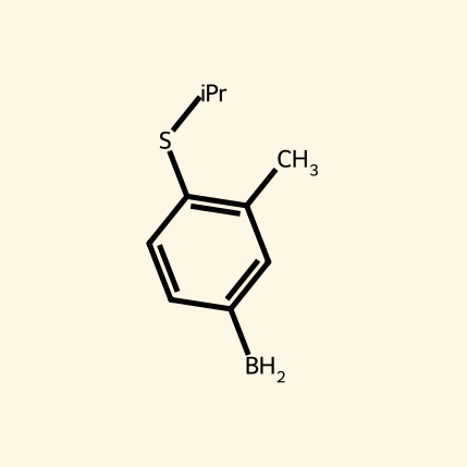 Bc1ccc(SC(C)C)c(C)c1